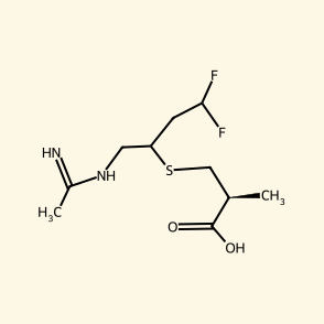 CC(=N)NCC(CC(F)F)SC[C@@H](C)C(=O)O